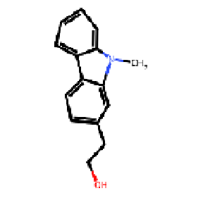 Cn1c2ccccc2c2ccc(CCO)cc21